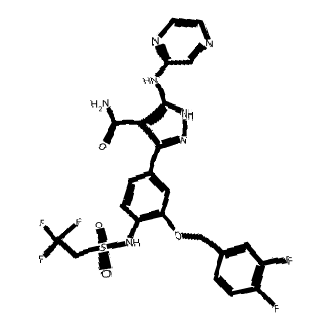 NC(=O)c1c(-c2ccc(NS(=O)(=O)CC(F)(F)F)c(OCc3ccc(F)c(F)c3)c2)n[nH]c1Nc1cnccn1